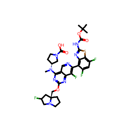 CN(c1nc(OC[C@@]23CCCN2CC(F)C3)nc2c(F)c(-c3c(F)cc(F)c4sc(NC(=O)OC(C)(C)C)nc34)ncc12)[C@@H]1CCN(C(=O)O)C1